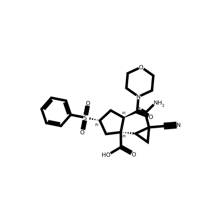 N#CC1(C(N)=O)CC1[C@]1(C(=O)O)C[C@H](S(=O)(=O)c2ccccc2)C[C@H]1C(=O)N1CCOCC1